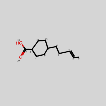 CC=CCCC1CCC(C(=O)O)CC1